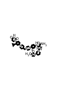 CN1CCN([C@@H]2CCCN(c3nnc(C(N)=O)c(Nc4ccc(N5CCN(CC6CCN(c7ccc(N8CCC(=O)NC8=O)c(C8CC8)c7)CC6)CC5)c(F)c4)n3)C2)C1=O